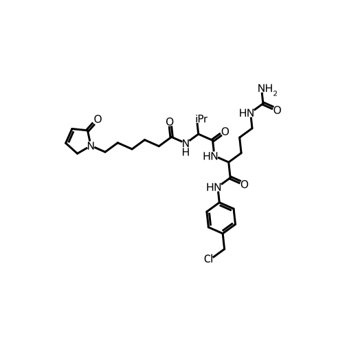 CC(C)C(NC(=O)CCCCCN1CC=CC1=O)C(=O)NC(CCCNC(N)=O)C(=O)Nc1ccc(CCl)cc1